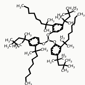 CCCCCCCC(C)(C)c1cc(C(C)(C)CC(C)(C)C)ccc1OP(Oc1ccc(C(C)(C)CC(C)(C)C)cc1C(C)(C)CCCCCCC)Oc1ccc(C(C)(C)CC(C)(C)C)cc1C(C)(C)CCCCCCC